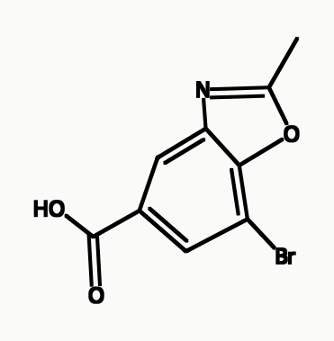 Cc1nc2cc(C(=O)O)cc(Br)c2o1